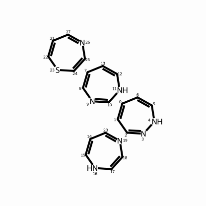 C1=CC=NNC=C1.C1=CN=CNC=C1.C1=CNC=CN=C1.C1=CSC=CN=C1